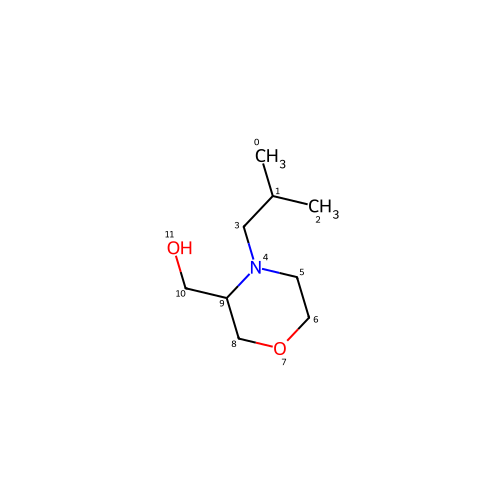 CC(C)CN1CCOCC1CO